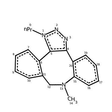 CCCn1nnc2c1-c1ccccc1CN(C)c1ccccc1-2